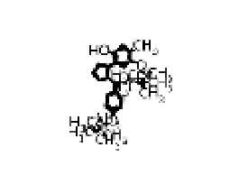 Cc1cc(O)c(C2=C(C(O)c3ccc(O[Si](C)(C)C(C)(C)C)cc3)CCC2)cc1O[Si](C)(C)C(C)(C)C